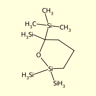 C[Si](C)(C)C1([SiH3])CCC[Si]([SiH3])([SiH3])O1